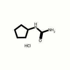 Cl.NC(=O)NC1CCCC1